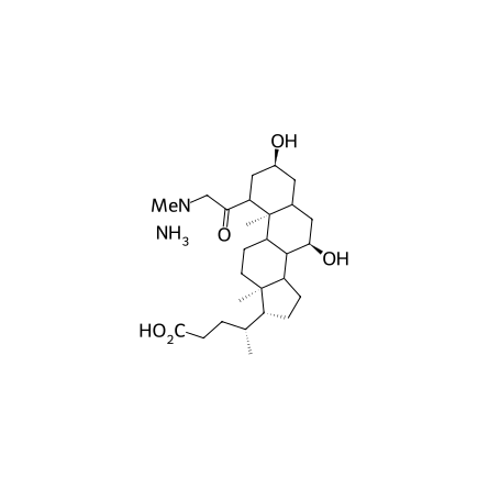 CNCC(=O)C1C[C@@H](O)CC2C[C@@H](O)C3C(CC[C@@]4(C)C3CC[C@@H]4[C@H](C)CCC(=O)O)[C@]21C.N